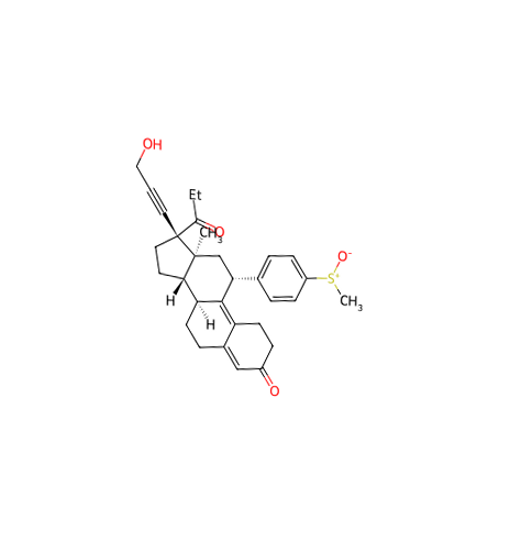 CCC(=O)[C@@]1(C#CCO)CC[C@H]2[C@@H]3CCC4=CC(=O)CCC4=C3[C@@H](c3ccc([S+](C)[O-])cc3)C[C@@]21C